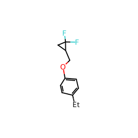 CCc1ccc(OCC2CC2(F)F)cc1